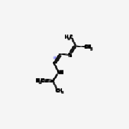 C=C(C)N/C=C\N=C(C)C